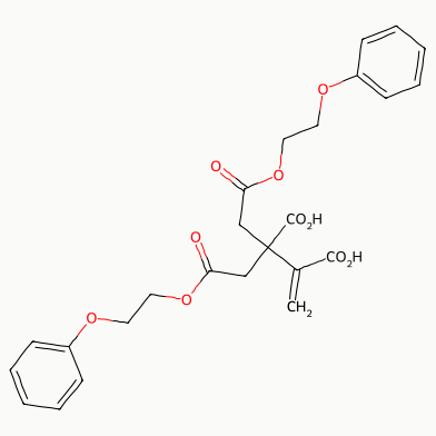 C=C(C(=O)O)C(CC(=O)OCCOc1ccccc1)(CC(=O)OCCOc1ccccc1)C(=O)O